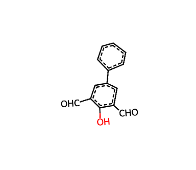 O=Cc1cc(-c2ccccc2)cc(C=O)c1O